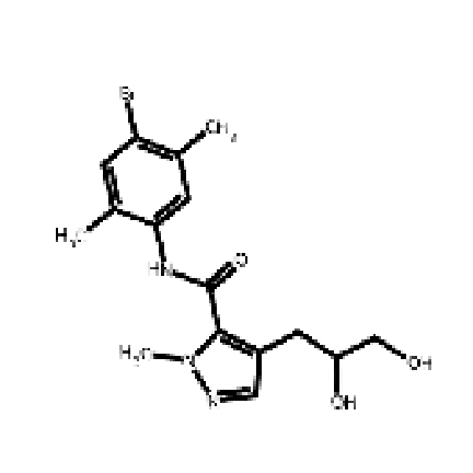 Cc1cc(NC(=O)c2c(CC(O)CO)cnn2C)c(C)cc1Br